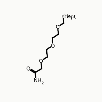 CCCCCCCCOCCOCCOCC(N)=O